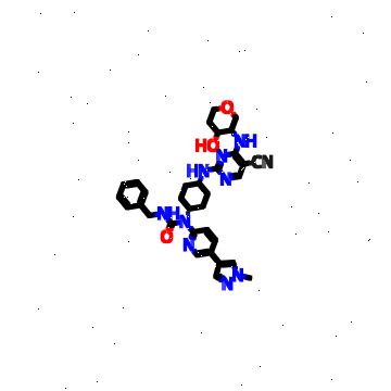 Cn1cc(-c2ccc(N(C(=O)NCc3ccccc3)[C@H]3CC[C@H](Nc4ncc(C#N)c(NC5COCCC5O)n4)CC3)nc2)cn1